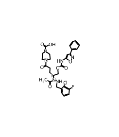 CC(=O)N(NCc1cccc(F)c1Cl)[C@@H](CCC(=O)N1CCN(C(=O)O)CC1)COC(=O)Nc1cc(-c2ccccc2)no1